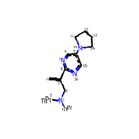 C=C(CN(CCC)CCC)c1ncc(N2CCCC2)cn1